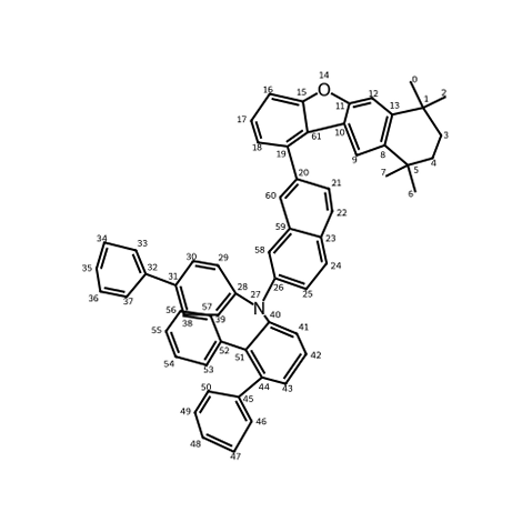 CC1(C)CCC(C)(C)c2cc3c(cc21)oc1cccc(-c2ccc4ccc(N(c5ccc(-c6ccccc6)cc5)c5cccc(-c6ccccc6)c5-c5ccccc5)cc4c2)c13